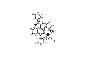 C[C@H](NC(=O)Oc1c(CN2CC[C@@H](O)C2)c(-c2ccccc2)nc2ccccc12)C1CCCCC1